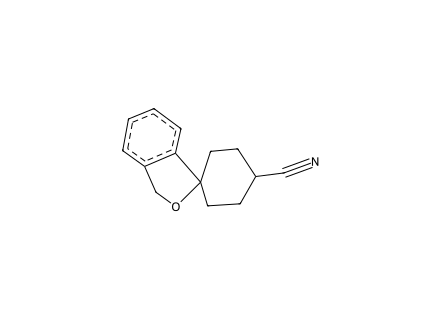 N#CC1CCC2(CC1)OCc1ccccc12